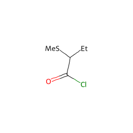 CCC(SC)C(=O)Cl